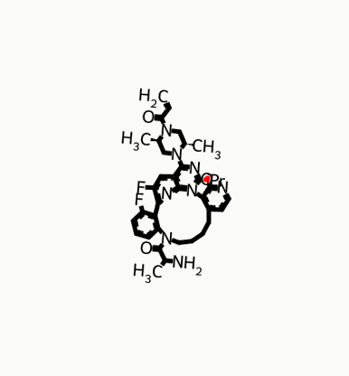 C=CC(=O)N1C[C@H](C)N(c2nc(=O)n3c4nc(c(F)cc24)-c2c(F)cccc2N(C(=O)C(C)N)CCCCc2ccnc(C(C)C)c2-3)C[C@H]1C